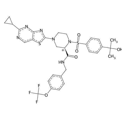 CC(C)(O)c1ccc(S(=O)(=O)N2CCN(c3nc4nc(C5CC5)ncc4s3)C[C@@H]2C(=O)NCc2ccc(OC(F)(F)F)cc2)cc1